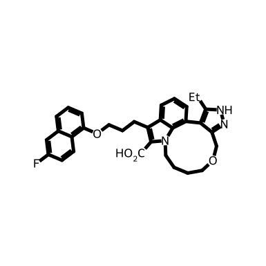 CCc1[nH]nc2c1-c1cccc3c(CCCOc4cccc5cc(F)ccc45)c(C(=O)O)n(c13)CCCCOC2